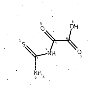 NC(=S)NC(=O)C(=O)O